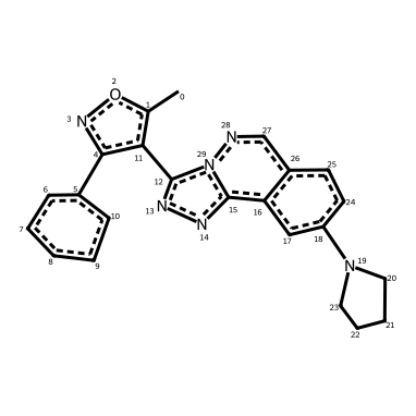 Cc1onc(-c2ccccc2)c1-c1nnc2c3cc(N4CCCC4)ccc3cnn12